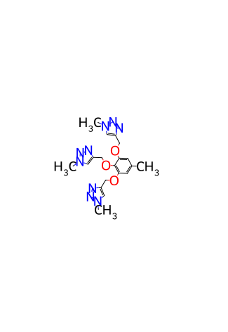 Cc1cc(OCc2cn(C)nn2)c(OCc2cn(C)nn2)c(OCc2cn(C)nn2)c1